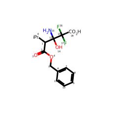 CC(C)C(C(=O)OCc1ccccc1)C(N)(O)C(F)(F)C(=O)O